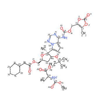 Cc1oc(=O)oc1COC(=O)Nc1ncnn2c([C@]3(C#N)O[C@H](COC(=O)CC4CCCCC4)[C@@H](OC(=O)C(NC(=O)OC(C)(C)C)C(C)C)C3O[Si](C)(C)C)ccc12